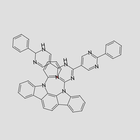 C1=NC(c2ccccc2)NC=C1C1N=C(n2c3ccccc3c3ccc4c5ccccc5n(-c5ccccc5)c4c32)N=C(c2cnc(-c3ccccc3)nc2)N1